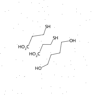 O=C(O)CCS.O=C(O)CCS.OCCCCO